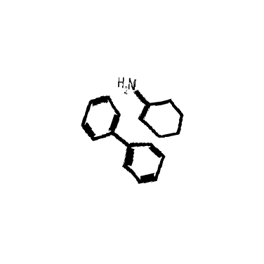 NC1CCCCC1.c1ccc(-c2ccccc2)cc1